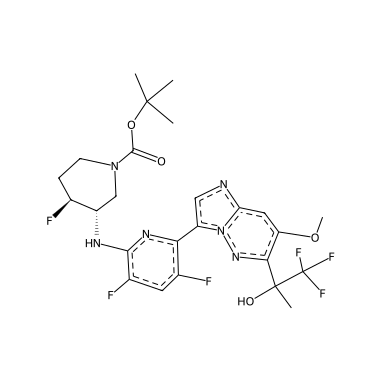 COc1cc2ncc(-c3nc(N[C@H]4CN(C(=O)OC(C)(C)C)CC[C@@H]4F)c(F)cc3F)n2nc1C(C)(O)C(F)(F)F